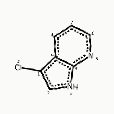 Clc1c[nH]c2ncc[c]c12